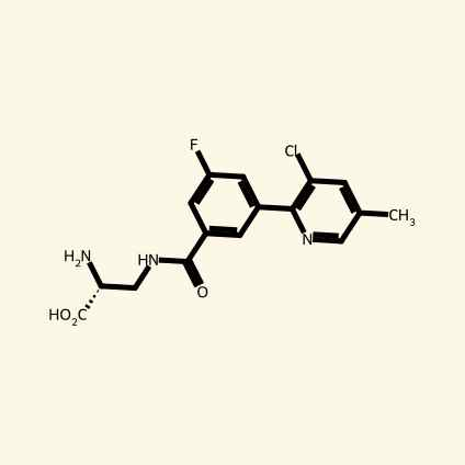 Cc1cnc(-c2cc(F)cc(C(=O)NC[C@@H](N)C(=O)O)c2)c(Cl)c1